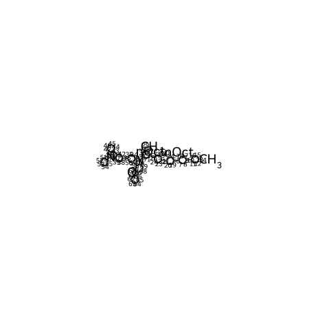 CCCCCCCCC1(CCCCCCCC)c2cc(-c3ccc(-c4ccc(C)cc4)cc3)ccc2-c2ccc(-c3cc(C)cc(-n4c5ccc(-c6ccc7c(c6)c6ccccc6n7-c6ccccc6)cc5c5c6oc7ccccc7c6ccc54)c3)cc21